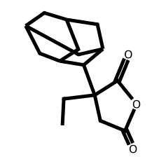 CCC1(C2C3CC4CC(C3)CC2C4)CC(=O)OC1=O